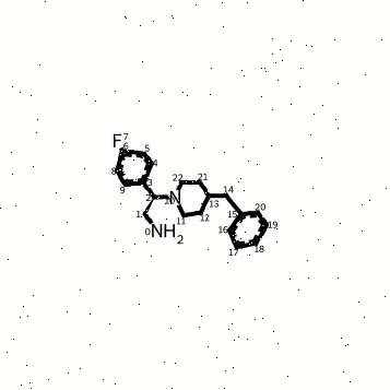 NC[C@@H](c1ccc(F)cc1)N1CCC(Cc2ccccc2)CC1